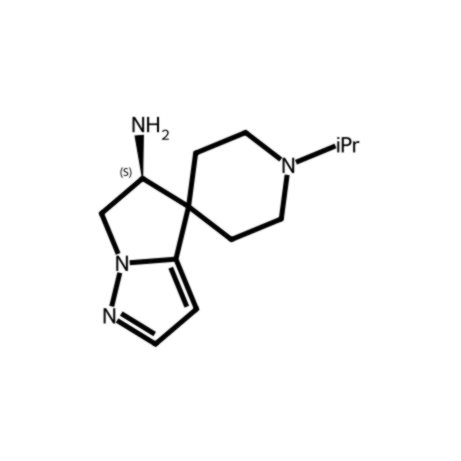 CC(C)N1CCC2(CC1)c1ccnn1C[C@H]2N